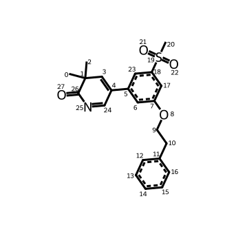 CC1(C)C=C(c2cc(OCCc3ccccc3)cc(S(C)(=O)=O)c2)C=NC1=O